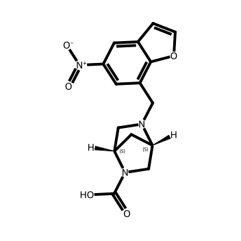 O=C(O)N1C[C@@H]2C[C@H]1CN2Cc1cc([N+](=O)[O-])cc2ccoc12